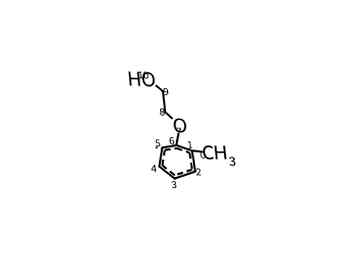 Cc1ccc[c]c1OCCO